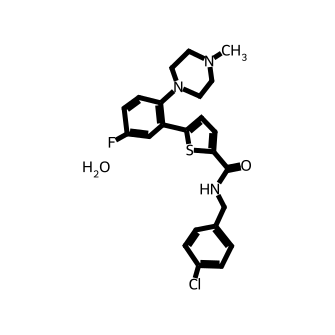 CN1CCN(c2ccc(F)cc2-c2ccc(C(=O)NCc3ccc(Cl)cc3)s2)CC1.O